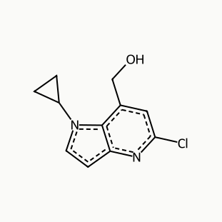 OCc1cc(Cl)nc2ccn(C3CC3)c12